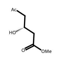 COC(=O)C[C@H](O)CC(C)=O